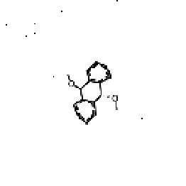 CO[C@H]1c2ccccc2[C@H](OC)c2ccccc21